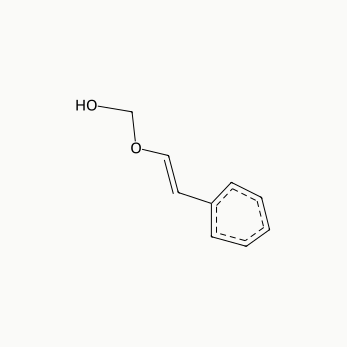 OCOC=Cc1ccccc1